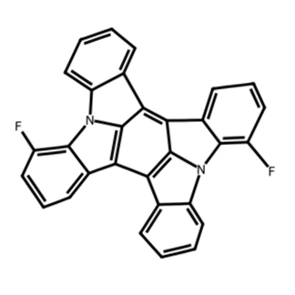 Fc1cccc2c3c4c5ccccc5n5c6c(F)cccc6c(c6c7ccccc7n(c12)c63)c45